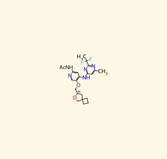 CC(=O)Nc1cc(Nc2cc(C)nc(C(C)(F)F)n2)c(OC[C@H]2CC3(CCC3)CO2)cn1